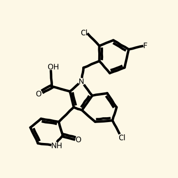 O=C(O)c1c(-c2ccc[nH]c2=O)c2cc(Cl)ccc2n1Cc1ccc(F)cc1Cl